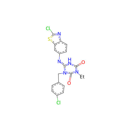 CCn1c(=O)[nH]/c(=N\c2ccc3nc(Cl)sc3c2)n(Cc2ccc(Cl)cc2)c1=O